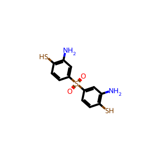 Nc1cc(S(=O)(=O)c2ccc(S)c(N)c2)ccc1S